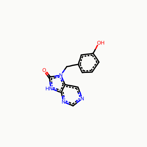 O=c1[nH]c2ncncc2n1Cc1cccc(O)c1